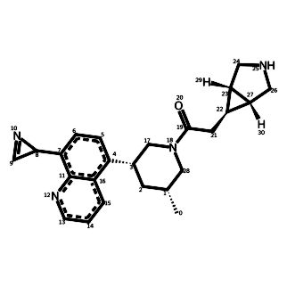 C[C@@H]1C[C@H](c2ccc(C3C=N3)c3ncccc23)CN(C(=O)C[C@H]2[C@@H]3CNC[C@@H]32)C1